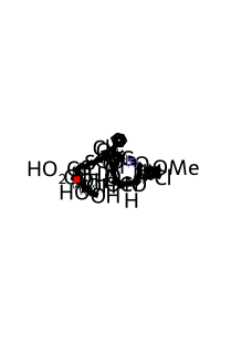 COc1ccc(C[C@H]2NC(=O)/C=C/C[C@@H]([C@H](C)[C@@H](OC(=O)OCCSSC[C@@H](NC(=O)[C@@H](C)[C@@H](O)[C@H](O)[C@H](O)CO)C(=O)O)[C@@H](Cl)c3ccccc3)OC(=O)[C@H](CC(C)C)OC(=O)C(C)(C)CNC2=O)cc1Cl